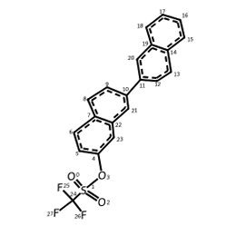 O=S(=O)(Oc1ccc2ccc(-c3ccc4ccccc4c3)cc2c1)C(F)(F)F